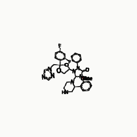 CCC(C)N1C(=O)N(c2ccccc2)N(C2COC(Cn3cncn3)(c3ccc(F)cc3F)O2)C1N1CCNCC1c1ccccc1OC